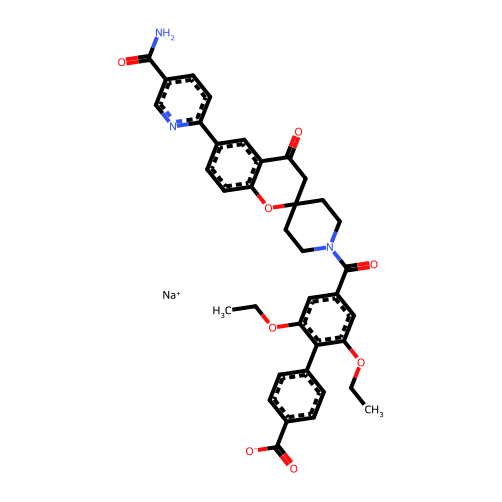 CCOc1cc(C(=O)N2CCC3(CC2)CC(=O)c2cc(-c4ccc(C(N)=O)cn4)ccc2O3)cc(OCC)c1-c1ccc(C(=O)[O-])cc1.[Na+]